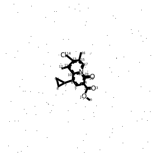 COC(=O)c1cc(C2CC2)c2c(C)c(Cl)c(C)cn2c1=O